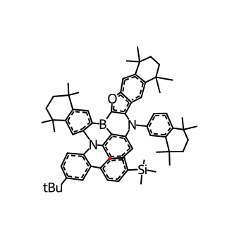 Cc1cc2c3c(c1)N(c1ccc4c(c1)C(C)(C)CCC4(C)C)c1c(oc4cc5c(cc14)C(C)(C)CCC5(C)C)B3c1cc3c(cc1N2c1ccc(C(C)(C)C)cc1-c1ccc([Si](C)(C)C)cc1)C(C)(C)CCC3(C)C